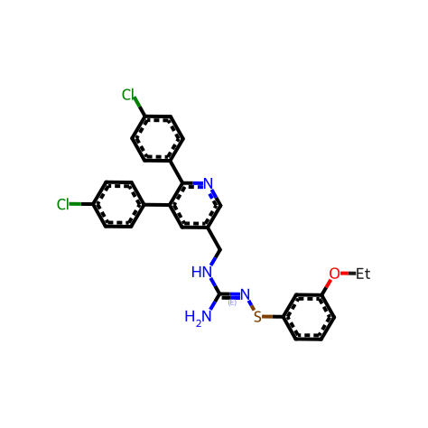 CCOc1cccc(S/N=C(\N)NCc2cnc(-c3ccc(Cl)cc3)c(-c3ccc(Cl)cc3)c2)c1